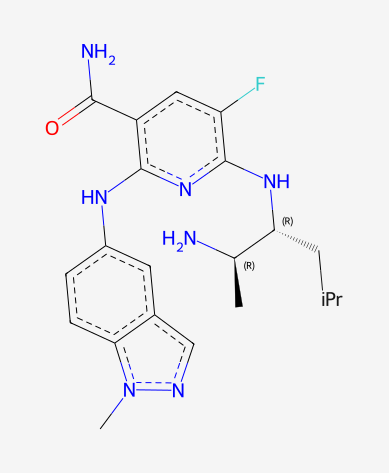 CC(C)C[C@@H](Nc1nc(Nc2ccc3c(cnn3C)c2)c(C(N)=O)cc1F)[C@@H](C)N